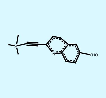 C[Si](C)(C)C#Cc1ccc2cc(C=O)ccc2n1